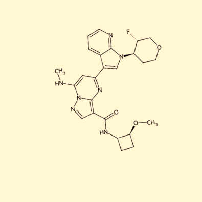 CNc1cc(-c2cn([C@@H]3CCOC[C@H]3F)c3ncccc23)nc2c(C(=O)NC3CC[C@@H]3OC)cnn12